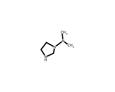 CN(C)N1CCNC1